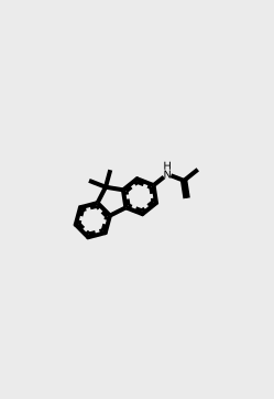 C=C(C)Nc1ccc2c(c1)C(C)(C)c1ccccc1-2